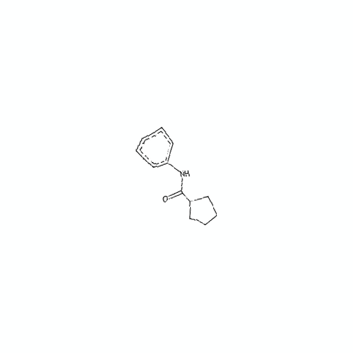 O=C(Nc1ccccc1)C1CCCC1